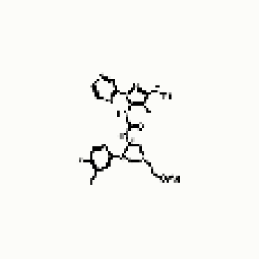 CCOc1nn(-c2cnccn2)c(NC(=O)N[C@@H]2CN(CCOC)C[C@H]2c2ccc(F)c(F)c2)c1C